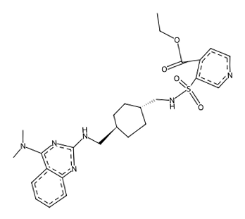 CCOC(=O)c1ccncc1S(=O)(=O)NC[C@H]1CC[C@H](CNc2nc(N(C)C)c3ccccc3n2)CC1